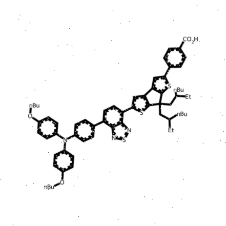 CCCCOc1ccc(N(c2ccc(OCCCC)cc2)c2ccc(-c3ccc(-c4cc5c(s4)C(CC(CC)CCCC)(CC(CC)CCCC)c4sc(-c6ccc(C(=O)O)cc6)cc4-5)c4nsnc34)cc2)cc1